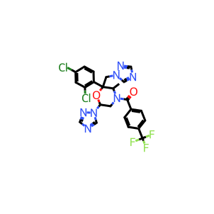 CC1N(C(=O)c2ccc(C(F)(F)F)cc2)CC(n2cncn2)OC1(Cn1cncn1)c1ccc(Cl)cc1Cl